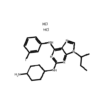 CCC(C)n1cnc2c(Nc3cccc(I)c3)nc(NC3CCC(N)CC3)nc21.Cl.Cl